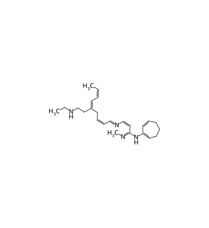 C/C=C\C=C(/C\C=C/C=N/C=C\C(=N/C)NC1=CCCCC=C1)CCNCC